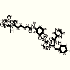 CC(C)C[C@@H](NC(=O)[C@@H](Cc1ccccc1)NC(=O)c1cnccn1)B1Oc2ccc(N(C)C(=O)CCCCC(=O)NC(P=O)P(=O)(O)O)cc2O1